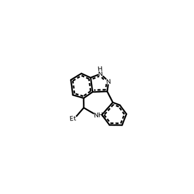 CCC(N)c1cccc2[nH]nc(-c3ccccc3)c12